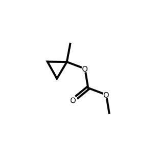 COC(=O)OC1(C)CC1